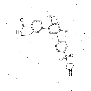 Nc1nc(F)c(-c2ccc(S(=O)(=O)C3CNC3)cc2)cc1-c1ccc2c(c1)CCNC2=O